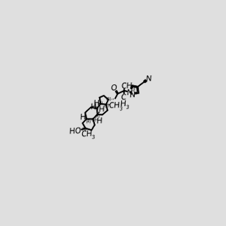 CC(C)(C(=O)C[C@H]1CC[C@H]2[C@@H]3CC[C@@H]4C[C@](C)(O)CC[C@@H]4[C@H]3CC[C@]12C)n1cc(C#N)cn1